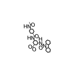 COC(=O)c1cc(NC(=O)c2ccc(NC(C)=O)cc2)cc(NC(=O)n2c3ccccc3c3ccccc32)c1